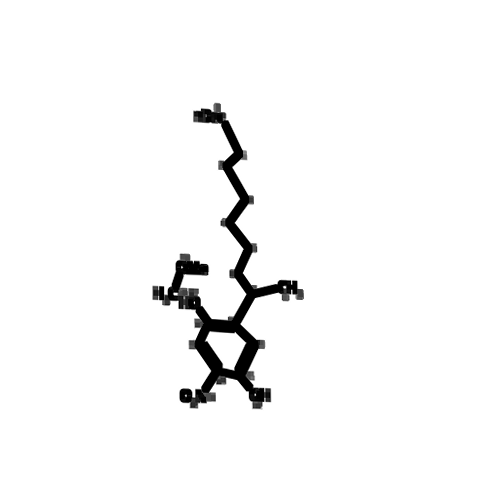 CCCCCCCCCCCCCCCCC(C)c1cc(O)c([N+](=O)[O-])cc1O.COC